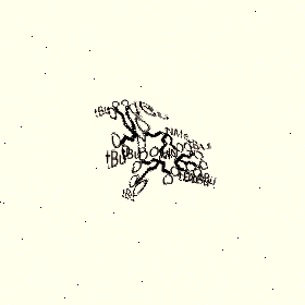 CNC(CCC(=O)NC(CCC(=O)OC(C)(C)C)(CCC(=O)OC(C)(C)C)CCC(=O)OC(C)(C)C)(CCC(=O)NC(CCC(=O)OC(C)(C)C)(CCC(=O)OC(C)(C)C)CCC(=O)OC(C)(C)C)CCC(=O)NC(CCC(=O)OC(C)(C)C)(CCC(=O)OC(C)(C)C)CCC(=O)OC(C)(C)C